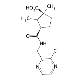 CC1[C@H](C(=O)NCc2nccnc2Cl)CC[C@]1(C)C(=O)O